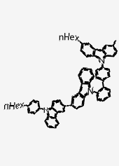 CCCCCCc1ccc(-n2c3ccccc3c3cc(-c4ccc5c(c4)c4ccccc4n5-c4ccccc4-c4ccc(-n5c6ccc(C)cc6c6cc(CCCCCC)ccc65)cc4)ccc32)cc1